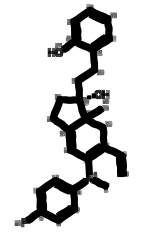 C=CC1=C(N(C)c2ccc(F)cc2)C=C2CC[C@@](O)(CCc3ccccc3O)C2(C)C1